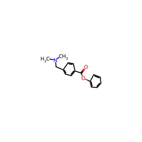 CN(C)Cc1ccc(C(=O)Oc2ccccc2)cc1